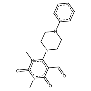 Cn1c(N2CCN(c3ccccc3)CC2)c(C=O)c(=O)n(C)c1=O